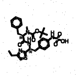 CCc1csc([C@H](Cc2ccc(NS(=O)(=O)O)cc2)NC(=O)[C@@H](Cc2ccccc2)N(C)C(=O)OC(C)(C)C)n1